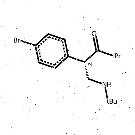 CC(C)C(=O)[C@H](CNC(C)(C)C)c1ccc(Br)cc1